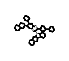 c1ccc(-c2ccc(-c3nc4cc(-c5ccccc5)c(-c5ccc6ccccc6c5)cc4nc3-n3c4ccccc4c4cc5ccccc5cc43)cc2)cc1